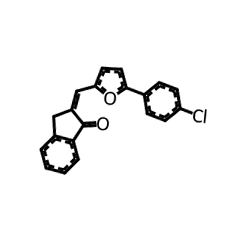 O=C1C(=Cc2ccc(-c3ccc(Cl)cc3)o2)Cc2ccccc21